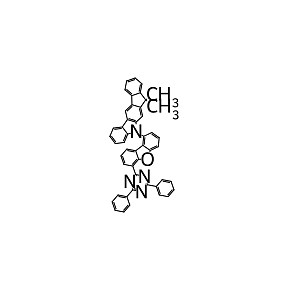 CC1(C)c2ccccc2-c2cc3c4ccccc4n(-c4cccc5oc6c(-c7nc(-c8ccccc8)nc(-c8ccccc8)n7)cccc6c45)c3cc21